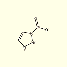 O=[N+]([O-])N1C=CNN1